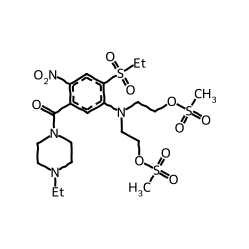 CCN1CCN(C(=O)c2cc(N(CCOS(C)(=O)=O)CCOS(C)(=O)=O)c(S(=O)(=O)CC)cc2[N+](=O)[O-])CC1